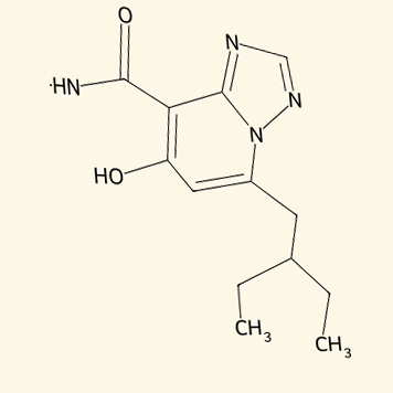 CCC(CC)Cc1cc(O)c(C([NH])=O)c2ncnn12